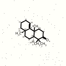 CC1(C)C(=O)CCC2(C)C3=CCCC[C@@]3(C)CC[C@H]12